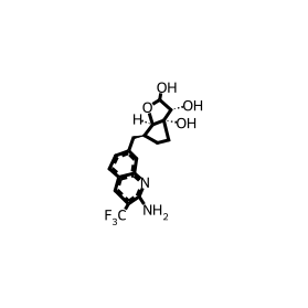 Nc1nc2cc(C[C@@H]3CC[C@@]4(O)[C@@H]3OC(O)[C@@H]4O)ccc2cc1C(F)(F)F